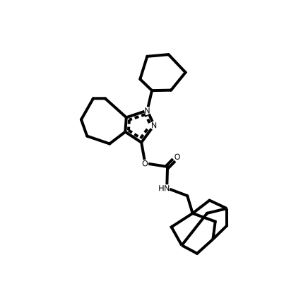 O=C(NCC12CC3CC(CC(C3)C1)C2)Oc1nn(C2CCCCC2)c2c1CCCCC2